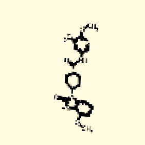 COc1ncc(NC(=O)[C@H]2CC[C@@H](n3c(=O)[nH]c4c(OC)cccc43)CC2)cc1C